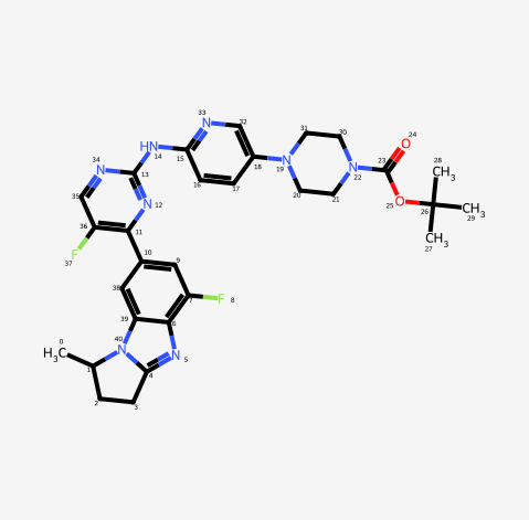 CC1CCc2nc3c(F)cc(-c4nc(Nc5ccc(N6CCN(C(=O)OC(C)(C)C)CC6)cn5)ncc4F)cc3n21